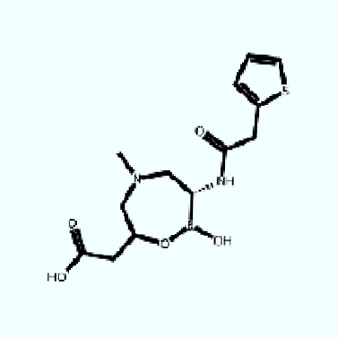 CN1CC(CC(=O)O)OB(O)[C@@H](NC(=O)Cc2cccs2)C1